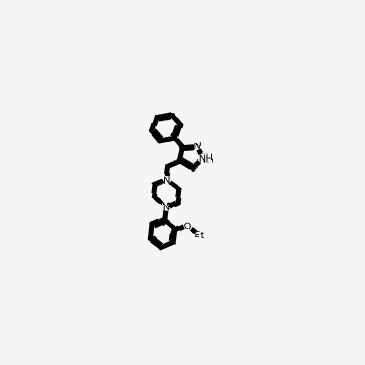 CCOc1ccccc1N1CCN(Cc2c[nH]nc2-c2ccccc2)CC1